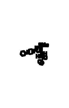 CSc1nc(NNC(=O)c2ccco2)cc(N2CCN(c3ccccc3)CC2)n1